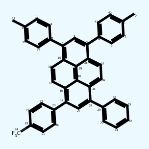 Cc1ccc(-c2cc(-c3ccc(C)cc3)c3ccc4c(-c5ccc(C(F)(F)F)cc5)cc(-c5ccccc5)c5ccc2c3c54)cc1